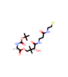 C[C@H](NC(=O)OC(C)(C)C)C(=O)OCC(C)(C)[C@@H](O)C(=O)NCCC(=O)NCCS